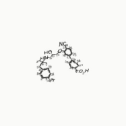 CC(C)c1ccc(CC(C)(C)NC[C@H](O)COc2cc(-c3ccc(C(=O)O)cc3)ccc2C#N)cc1